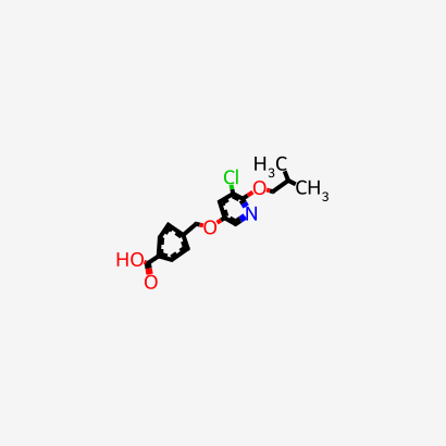 CC(C)COc1ncc(OCc2ccc(C(=O)O)cc2)cc1Cl